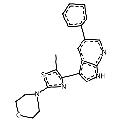 Cc1sc(N2CCOCC2)nc1-c1c[nH]c2ncc(-c3ccccc3)cc12